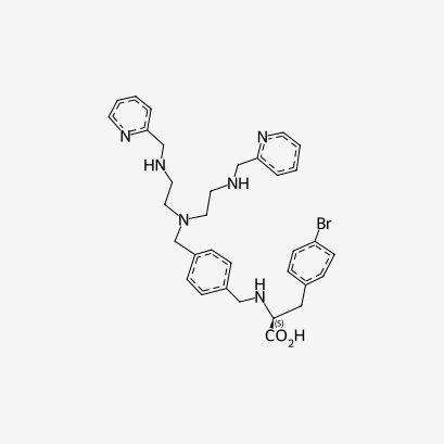 O=C(O)[C@H](Cc1ccc(Br)cc1)NCc1ccc(CN(CCNCc2ccccn2)CCNCc2ccccn2)cc1